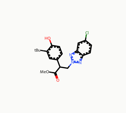 COC(=O)C(Cn1nc2ccc(Cl)cc2n1)c1ccc(O)c(C(C)(C)C)c1